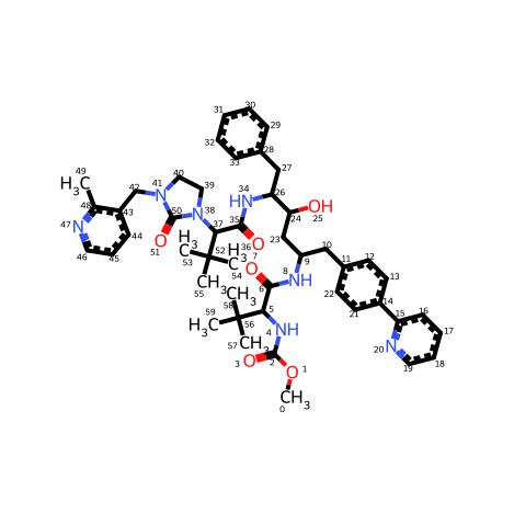 COC(=O)NC(C(=O)NC(Cc1ccc(-c2ccccn2)cc1)CC(O)C(Cc1ccccc1)NC(=O)C(N1CCN(Cc2cccnc2C)C1=O)C(C)(C)C)C(C)(C)C